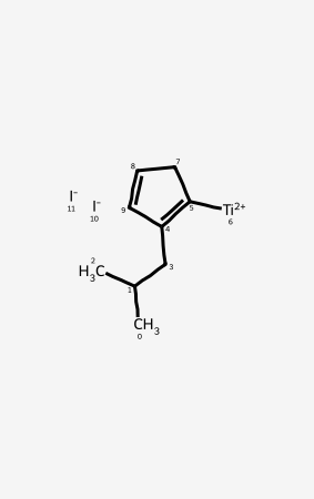 CC(C)CC1=[C]([Ti+2])CC=C1.[I-].[I-]